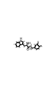 Cc1ccc(CNC(=O)[C@H](N)Cc2c[nH]c3ccccc23)cc1C